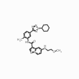 COCCNc1ccn2ncc(C(=O)Nc3cc(-c4nnn(C5CCCCC5)n4)ccc3C)c2c1